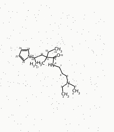 CCN(CC)CCCNC(=O)C(C)(CC)CC(C)n1cccc1